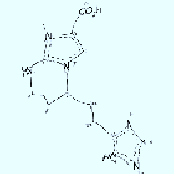 O=C(O)c1cn2c(n1)NCCC2CCc1nnn[nH]1